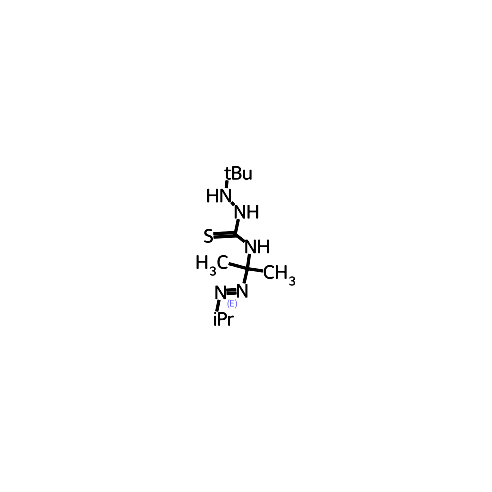 CC(C)/N=N/C(C)(C)NC(=S)NNC(C)(C)C